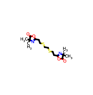 CC1(C)N=C(CCSCCSCCC2=NC(C)(C)C(=O)O2)OC1=O